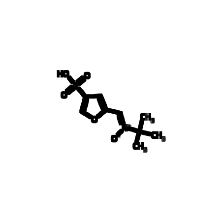 CC(C)(C)[N+]([O-])=Cc1cc(S(=O)(=O)O)co1